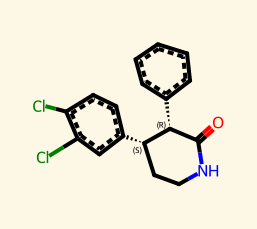 O=C1NCC[C@H](c2ccc(Cl)c(Cl)c2)[C@@H]1c1ccccc1